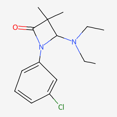 CCN(CC)C1N(c2cccc(Cl)c2)C(=O)C1(C)C